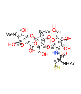 CNC1C(O)[C@H](O[C@@H]2OC(CO)[C@@H](O[C@@H]3OC(CO)[C@@H](O)C(O)C3NC(=O)[C@H](CS)NC(C)=O)C(O)C2NC(C)=O)C(CO)O[C@H]1O